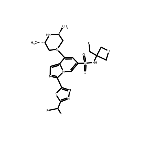 C[C@H]1CN(c2cc(S(=O)(=O)NC3(CF)COC3)cn3c(-c4nnc(C(F)F)s4)ncc23)C[C@H](C)N1